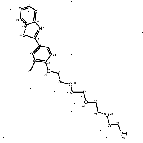 Cc1cc(-c2nc3ccccc3s2)ccc1OCCOCCOCCOCCO